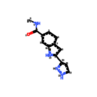 CC(C)NC(=O)c1ccc2cc(-c3cc[nH]n3)[nH]c2c1